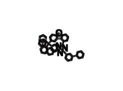 c1ccc(-c2cccc(-c3nc(-c4cccc(-c5ccccc5)c4)nc(-c4cccc5oc6ccc(C7(c8ccccc8)c8ccccc8-c8ccccc87)cc6c45)n3)c2)cc1